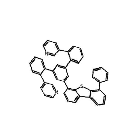 c1ccc(-c2cccc3c2sc2c(-c4cc(-c5ccccc5-c5cccnc5)cc(-c5ccccc5-c5cccnc5)c4)cccc23)cc1